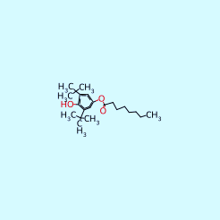 CCCCCCCC(=O)Oc1cc(C(C)(C)C)c(O)c(C(C)(C)C)c1